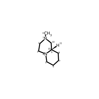 CN1CCN2CCCC[C@H]2C1